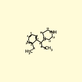 CCc1ncccc1C(CC)N1CCNCC1